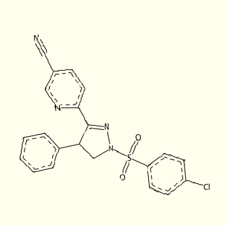 N#Cc1ccc(C2=NN(S(=O)(=O)c3ccc(Cl)cc3)CC2c2ccccc2)nc1